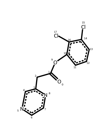 O=C(Cc1cnccn1)Oc1cccc(Cl)c1Cl